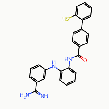 N=C(N)c1cccc(Nc2ccccc2NC(=O)c2ccc(-c3ccccc3S)cc2)c1